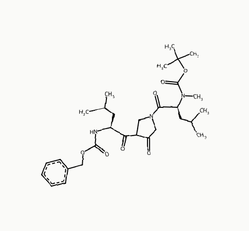 CC(C)C[C@H](NC(=O)OCc1ccccc1)C(=O)C1CN(C(=O)[C@H](CC(C)C)N(C)C(=O)OC(C)(C)C)CC1=O